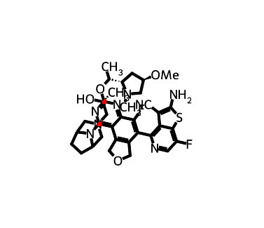 CO[C@@H]1C[C@@H](C(C)Oc2nc(N3C4CCC3CN(C[C@@H](C)O)C4)c3c4c(c(-c5ncc(F)c6sc(N)c(C#N)c56)c(F)c3n2)COC4)N(C)C1